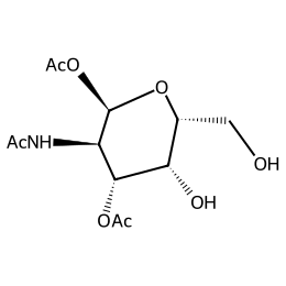 CC(=O)N[C@H]1[C@@H](OC(C)=O)O[C@H](CO)[C@H](O)[C@@H]1OC(C)=O